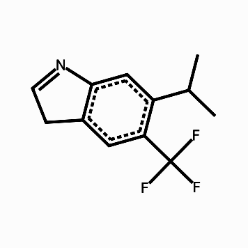 CC(C)c1cc2c(cc1C(F)(F)F)CC=N2